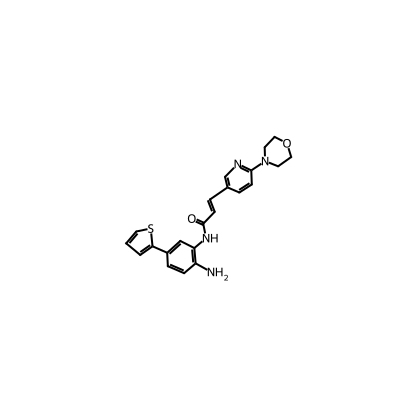 Nc1ccc(-c2cccs2)cc1NC(=O)/C=C/c1ccc(N2CCOCC2)nc1